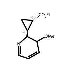 CCOC(=O)[C@H]1C[C@@H]1C1N=CC=CC1OC